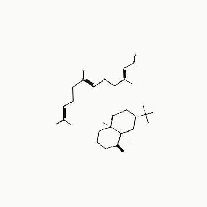 C=C1CCC[C@]2(C)CC[C@@H](C(C)(C)O)C[C@@H]12.CC(C)=CCCC(C)=CCCC(C)=CCO